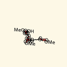 COCCn1c(=O)n(CCO)c(=O)n(CCOC(=O)CCn2c(=O)n(CCC(=O)OC)c(=O)n(CCC(=O)OCCCCCCCCOC(=O)c3ccc4cc(C(=O)OC)ccc4c3)c2=O)c1=O